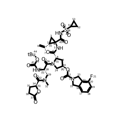 C=C[C@@H]1C[C@]1(NC(=O)[C@@H]1C[C@@H](OC(=O)N2Cc3cccc(F)c3C2)CN1C(=O)[C@H](CN(C)C(=O)[C@@H]1CCC(=O)O1)NC(=O)OC(C)(C)C)C(=O)NS(=O)(=O)C1CC1